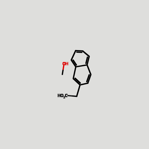 CO.O=C(O)Cc1ccc2ccccc2c1